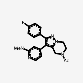 CNc1cc(-c2c(-c3ccc(F)cc3)nn3c2CN(C(C)=O)CC3)ccn1